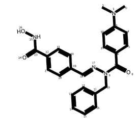 CN(C)c1ccc(C(=O)N(Cc2ccccc2)N=Cc2ccc(C(=O)NO)cc2)cc1